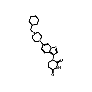 O=C1CCN(c2cnn3cc(N4CCN(CC5CCCCC5)CC4)ccc23)C(=O)N1